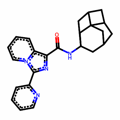 O=C(NC12CC3CC4CC(C1)C4(C3)C2)c1nc(-c2ccccn2)n2ccccc12